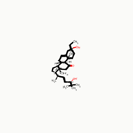 CC[C@]1(O)CC[C@@]2(C)C(=CC[C@H]3[C@@H]4CC[C@H]([C@H](C)CC[C@H](O)C(C)(C)C)[C@@]4(C)CC(=O)[C@@H]32)C1